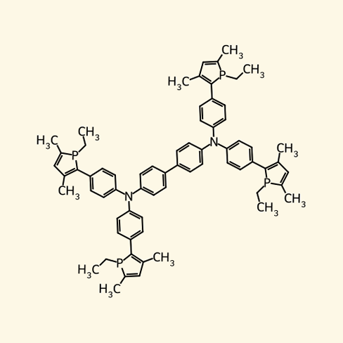 CCp1c(C)cc(C)c1-c1ccc(N(c2ccc(-c3ccc(N(c4ccc(-c5c(C)cc(C)p5CC)cc4)c4ccc(-c5c(C)cc(C)p5CC)cc4)cc3)cc2)c2ccc(-c3c(C)cc(C)p3CC)cc2)cc1